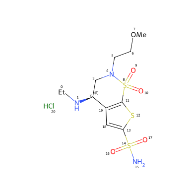 CCN[C@H]1CN(CCOC)S(=O)(=O)c2sc(S(N)(=O)=O)cc21.Cl